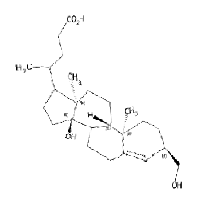 CC(CCC(=O)O)C1CC[C@@]2(O)C3CCC4=C[C@H](CO)CC[C@]4(C)[C@H]3CC[C@]12C